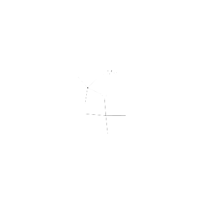 COC(C)(C)OC(C)(C)C